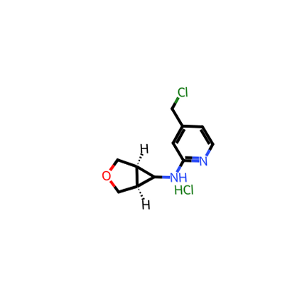 Cl.ClCc1ccnc(NC2[C@H]3COC[C@@H]23)c1